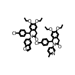 CCOc1cc2c(cc1OCC)C(c1ccc(Cl)cc1)N(c1ccc(C)nc1)C(=O)C2.CCOc1cc2c(cc1OCC)C(c1ccc(Cl)cc1)N(c1ccc3occc3c1)C(=O)C2